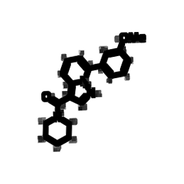 COc1cccc(-c2cccc3c(C(=O)N4CCCCC4)cnn23)c1